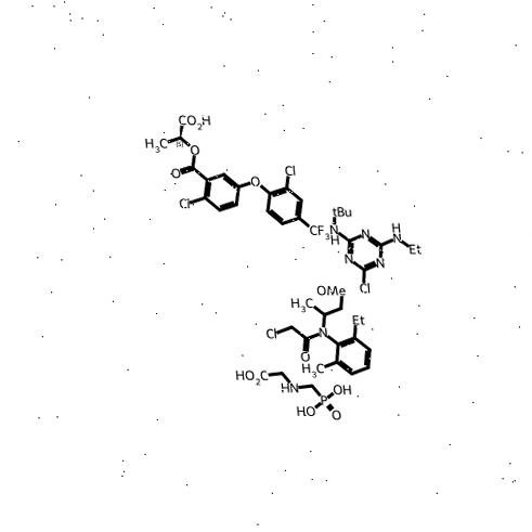 CCNc1nc(Cl)nc(NC(C)(C)C)n1.CCc1cccc(C)c1N(C(=O)CCl)C(C)COC.C[C@H](OC(=O)c1cc(Oc2ccc(C(F)(F)F)cc2Cl)ccc1Cl)C(=O)O.O=C(O)CNCP(=O)(O)O